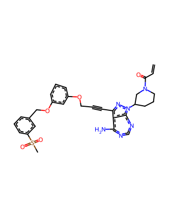 C=CC(=O)N1CCCC(n2nc(C#CCOc3cccc(OCc4cccc(S(C)(=O)=O)c4)c3)c3c(N)ncnc32)C1